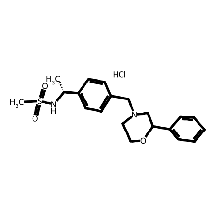 C[C@@H](NS(C)(=O)=O)c1ccc(CN2CCOC(c3ccccc3)C2)cc1.Cl